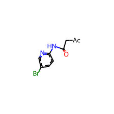 CC(=O)CC(=O)Nc1ccc(Br)cn1